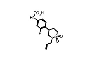 C=CCN1CC(c2ccc(NC(=O)O)cc2F)CCS1(=O)=O